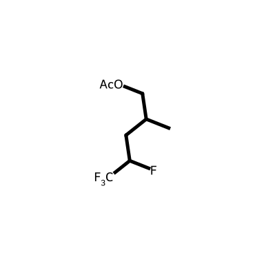 CC(=O)OCC(C)CC(F)C(F)(F)F